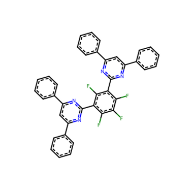 Fc1c(F)c(-c2nc(-c3ccccc3)cc(-c3ccccc3)n2)c(F)c(-c2nc(-c3ccccc3)cc(-c3ccccc3)n2)c1F